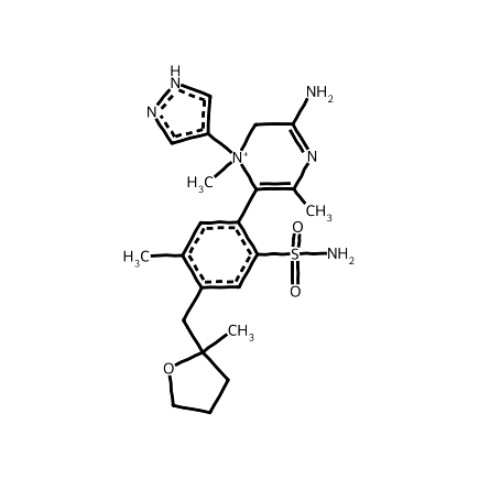 CC1=C(c2cc(C)c(CC3(C)CCCO3)cc2S(N)(=O)=O)[N+](C)(c2cn[nH]c2)CC(N)=N1